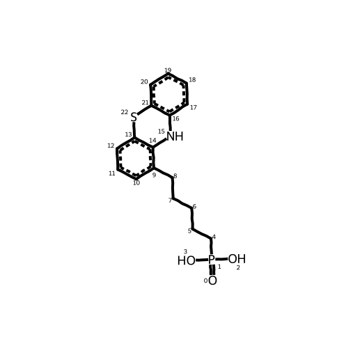 O=P(O)(O)CCCCCc1cccc2c1Nc1ccccc1S2